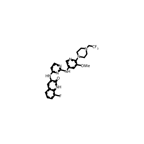 COc1cc(Nc2nccc(Nc3cc4cccc(F)c4[nH]c3=O)n2)cnc1N1CCN(CC(F)(F)F)CC1